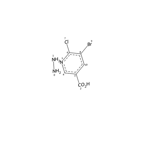 NN.O=C(O)c1cnc(Cl)c(Br)c1